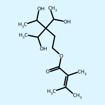 CC(C)=C(C)C(=O)OCCC(C(C)O)(C(C)O)C(C)O